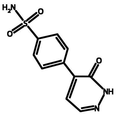 NS(=O)(=O)c1ccc(-c2ccn[nH]c2=O)cc1